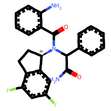 NC(=O)C(c1ccccc1)N(C(=O)c1ccccc1N)[C@@H]1CCc2c(F)cc(F)cc21